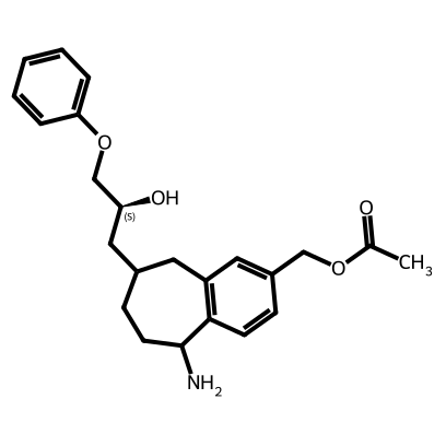 CC(=O)OCc1ccc2c(c1)CC(C[C@H](O)COc1ccccc1)CCC2N